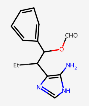 CCC(c1nc[nH]c1N)C(OC=O)c1ccccc1